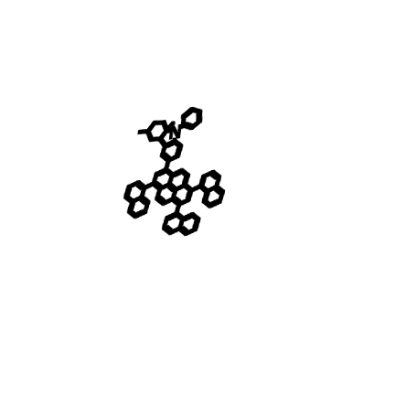 CC1CCC2(C)C(C1)c1cc(-c3cc(-c4cccc5ccccc45)c4ccc5c(-c6cccc7ccccc67)cc(-c6cccc7ccccc67)c6ccc3c4c65)ccc1N2c1ccccc1